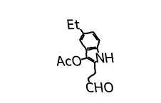 CCc1ccc2[nH]c(CCC=O)c(OC(C)=O)c2c1